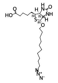 [N-]=[N+]=NCCCCCCCCCCO[C@@H]1S[C@@H](CCCCC(=O)O)[C@H]2NC(=O)N[C@H]21